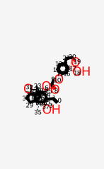 C=C[C@]1(C)C[C@@H](OC(=O)COc2ccc3c(c2)B(O)OCC3)[C@]2(C)[C@H](C)CC[C@]3(CCC(=O)[C@H]32)[C@@H](C)[C@@H]1O